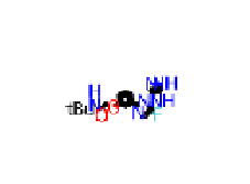 CC(C)(C)NC(=O)COc1cccc(-c2ncc(F)c(Nc3cn[nH]c3)n2)c1